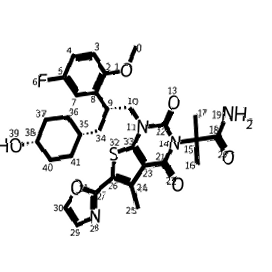 COc1ccc(F)cc1[C@H](Cn1c(=O)n(C(C)(C)C(N)=O)c(=O)c2c(C)c(-c3ncco3)sc21)C[C@H]1CC[C@@H](O)CC1